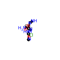 C=C(C(N)=O)c1cc2c(Nc3ccc(OCc4ccccn4)c(Cl)c3)ncnc2cc1OCCN1CC2(CNC2)C1